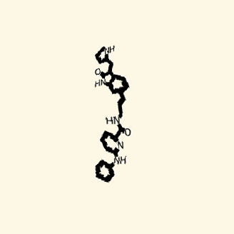 O=C1Nc2cc(C=CCNC(=O)c3cccc(Nc4ccccc4)n3)ccc2C1=Cc1ccc[nH]1